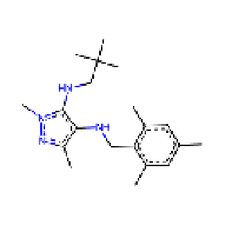 Cc1cc(C)c(CNc2c(C)nn(C)c2NCC(C)(C)C)c(C)c1